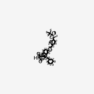 CC(OC(=O)C(C)(C)C)c1ccc(CCOc2ccc(CC3(C(=O)OCc4ccccc4)SC(=O)NC3=O)cc2)nc1